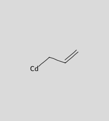 C=C[CH2][Cd]